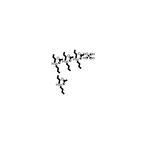 CCC[CH2][SnH]([CH2]CCC)[O]C(C)=O.CCC[CH2][SnH]([CH2]CCC)[O]C(C)=O.CCC[CH2][SnH]([CH2]CCC)[O]C(C)=O.CCC[CH2][SnH]([CH2]CCC)[O]C(C)=O.O[Si](O)(O)O